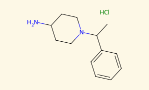 CC(c1ccccc1)N1CCC(N)CC1.Cl